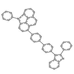 c1ccc(-c2nc3ccccc3n2-c2ccc(-c3ccc(-c4ccc5c6c4ccc4cccc(c46)n5-c4ccccc4)cc3)cc2)cc1